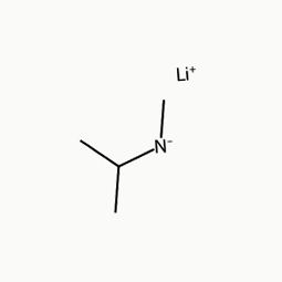 C[N-]C(C)C.[Li+]